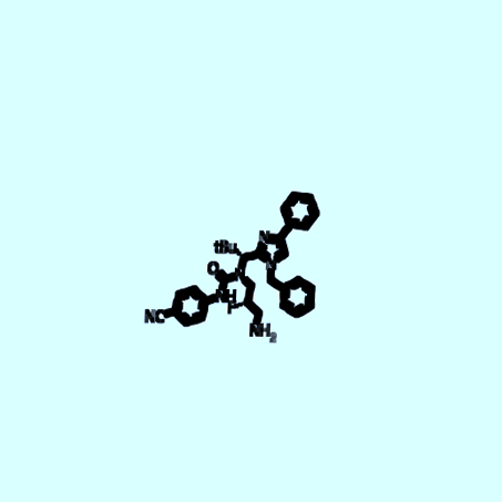 CC(C)(C)[C@H](c1nc(-c2ccccc2)cn1Cc1ccccc1)N(C[C@@H](F)CN)C(=O)Nc1ccc(C#N)cc1